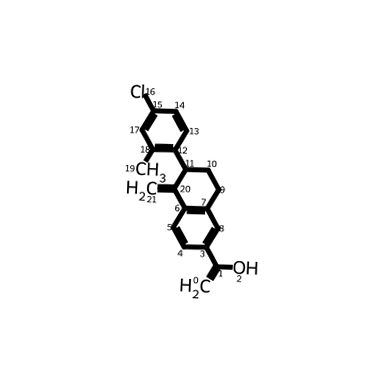 C=C(O)c1ccc2c(c1)CCC(c1ccc(Cl)cc1C)C2=C